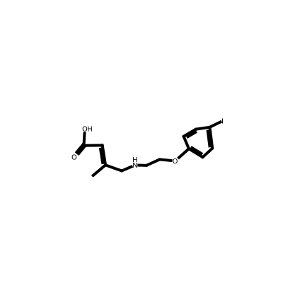 CC(=CC(=O)O)CNCCOc1ccc(I)cc1